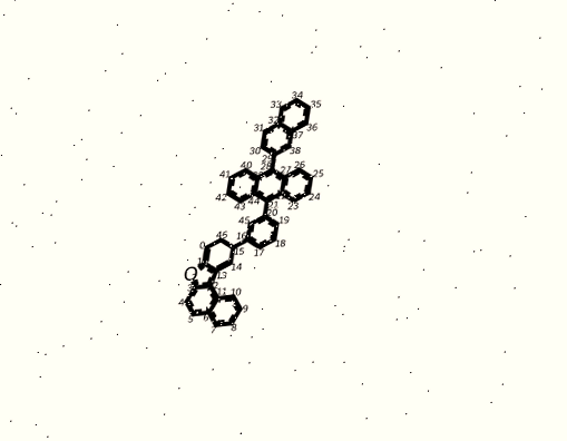 C1=c2oc3ccc4ccccc4c3c2=CC(c2cccc(-c3c4ccccc4c(-c4ccc5ccccc5c4)c4ccccc34)c2)C1